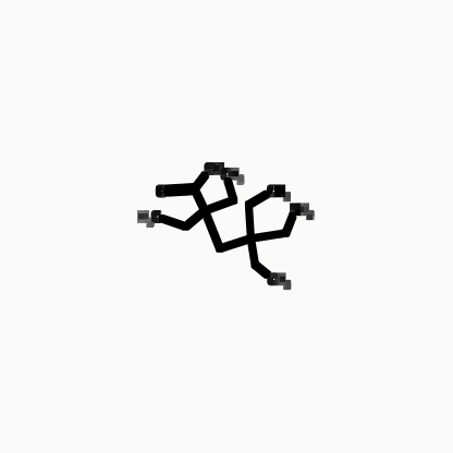 CCC(CC)(CN)CC(CC)(CC)C(=O)O